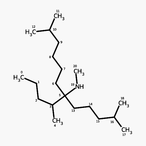 CCCC(C)C(CCCCC(C)C)(CCCC(C)C)NC